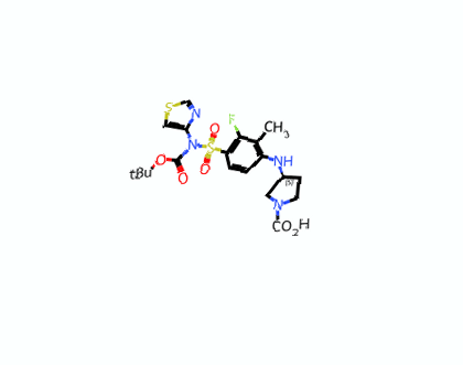 Cc1c(N[C@H]2CCN(C(=O)O)C2)ccc(S(=O)(=O)N(C(=O)OC(C)(C)C)c2cscn2)c1F